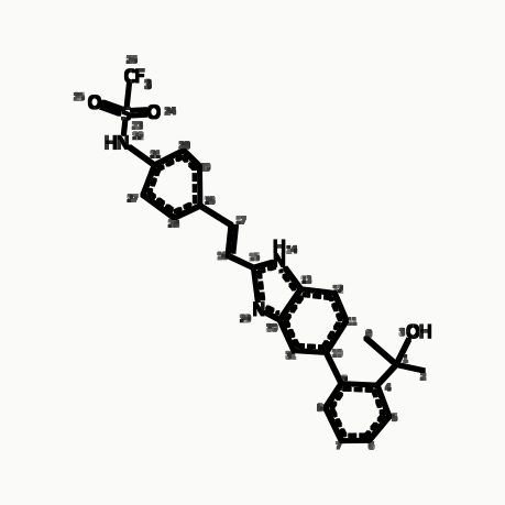 CC(C)(O)c1ccccc1-c1ccc2[nH]c(C=Cc3ccc(NS(=O)(=O)C(F)(F)F)cc3)nc2c1